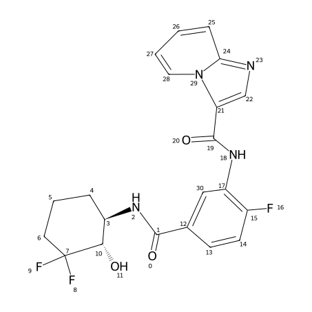 O=C(N[C@@H]1CCCC(F)(F)[C@H]1O)c1ccc(F)c(NC(=O)c2cnc3ccccn23)c1